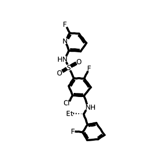 CC[C@H](Nc1cc(F)c(S(=O)(=O)Nc2cccc(F)n2)cc1Cl)c1ccccc1F